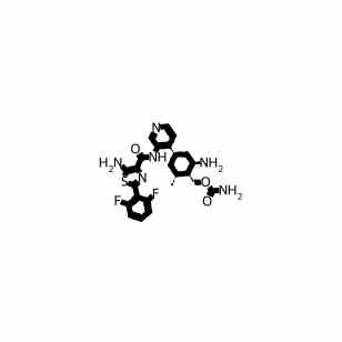 C[C@@H]1C[C@H](c2ccncc2NC(=O)c2nc(-c3c(F)cccc3F)sc2N)C[C@@H](N)[C@@H]1COC(N)=O